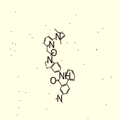 Cc1ccc(C)n1-c1cccc(CC(=O)N2CCc3cc(NC(=O)c4cc(N(C)C)ccc4-c4ccccc4)ccc32)n1